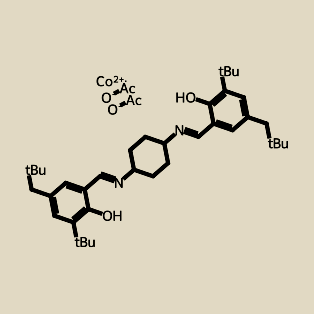 CC(=O)[O-].CC(=O)[O-].CC(C)(C)Cc1cc(C=NC2CCC(N=Cc3cc(CC(C)(C)C)cc(C(C)(C)C)c3O)CC2)c(O)c(C(C)(C)C)c1.[Co+2]